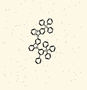 C1=CN2c3cc([Si](c4ccccc4)(c4ccccc4)c4ccccc4)ccc3N(c3ccc4c(c3)c3ccccc3n4-c3cc(-c4ccccc4)cc([Si](c4ccccc4)(c4ccccc4)c4ccccc4)c3)N2C=C1